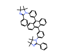 CC1(C)N=C(c2ccccc2)N(c2cccc(-c3c4ccccc4c(-c4cccc(N5C(c6ccccc6)=NC(C)(C)C5(C)C)c4)c4ccccc34)c2)C1(C)C